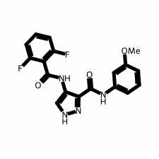 COc1cccc(NC(=O)c2n[nH]cc2NC(=O)c2c(F)cccc2F)c1